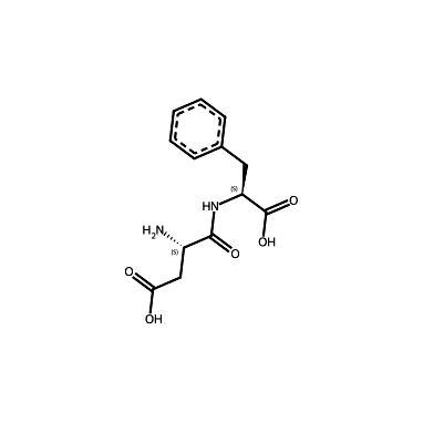 N[C@@H](CC(=O)O)C(=O)N[C@@H](Cc1ccccc1)C(=O)O